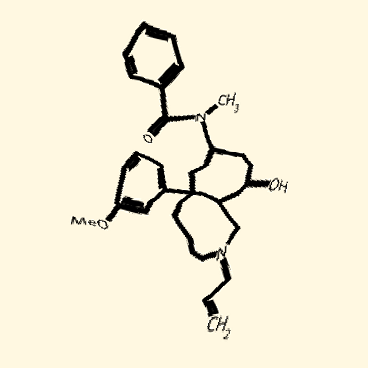 C=CCN1CCC2(c3cccc(OC)c3)CC(N(C)C(=O)c3ccccc3)CC(O)C2C1